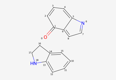 O=C1C=CC=C2N=CC=C12.c1ccc2c(c1)CCN2